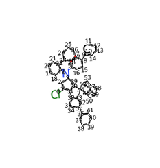 Clc1cc(N(c2ccc(-c3ccccc3)cc2)c2ccccc2-c2ccccc2)cc2c1-c1ccc(-c3ccccc3)cc1C21C2CC3CC(C2)CC1C3